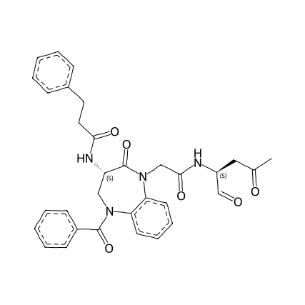 CC(=O)C[C@@H](C=O)NC(=O)CN1C(=O)[C@@H](NC(=O)CCc2ccccc2)CN(C(=O)c2ccccc2)c2ccccc21